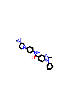 Cc1nc2cc(C(=O)Nc3ccc(N4CCC(N(C)C)C4)cc3)ccc2n1-c1ccccc1